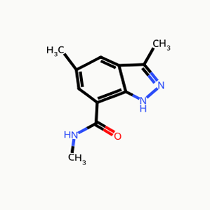 CNC(=O)c1cc(C)cc2c(C)n[nH]c12